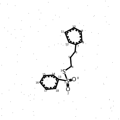 O=S(=O)(SCCCc1ccccc1)c1ccccc1